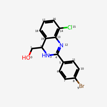 OCC1NC(c2ccc(Br)cc2)=Nc2c(Cl)cccc21